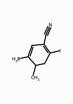 BC1=CC(C#N)=C(I)CC1C